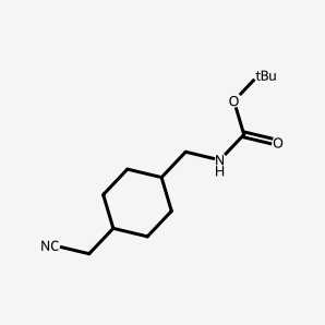 CC(C)(C)OC(=O)NCC1CCC(CC#N)CC1